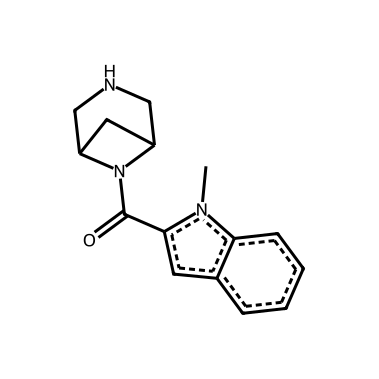 Cn1c(C(=O)N2C3CNCC2C3)cc2ccccc21